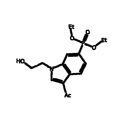 CCOP(=O)(OCC)c1ccc2c(C(C)=O)cn(CCO)c2c1